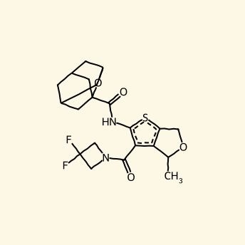 CC1OCc2sc(NC(=O)C34CC5CC(CC(C5)O3)C4)c(C(=O)N3CC(F)(F)C3)c21